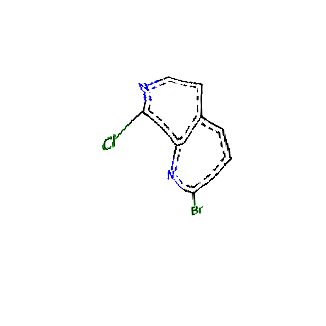 Clc1nccc2ccc(Br)nc12